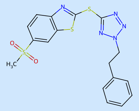 CS(=O)(=O)c1ccc2nc(Sc3nnn(CCc4ccccc4)n3)sc2c1